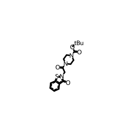 CC(C)(C)OC(=O)N1CCN(C(=O)Cn2sc3ccccc3c2=O)CC1